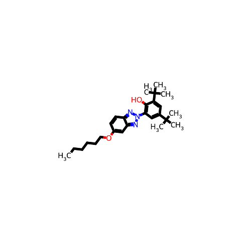 CCCCCCOc1ccc2nn(-c3cc(C(C)(C)C)cc(C(C)(C)C)c3O)nc2c1